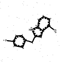 Fc1ccc(Cc2cc3c(Cl)cccc3[nH]2)cc1